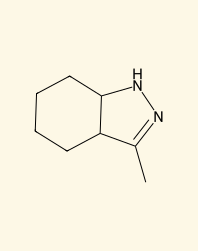 CC1=NNC2CCCCC12